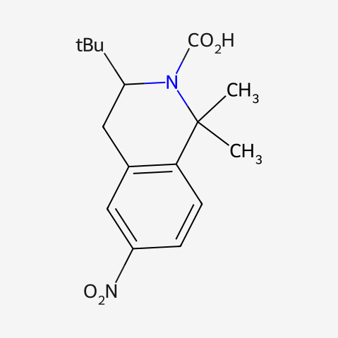 CC(C)(C)C1Cc2cc([N+](=O)[O-])ccc2C(C)(C)N1C(=O)O